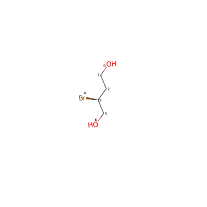 OCC[C@H](Br)CO